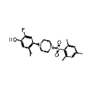 Cc1cc(C)c(S(=O)(=O)N2CCN(c3cc(F)c(O)cc3F)CC2)c(C)c1